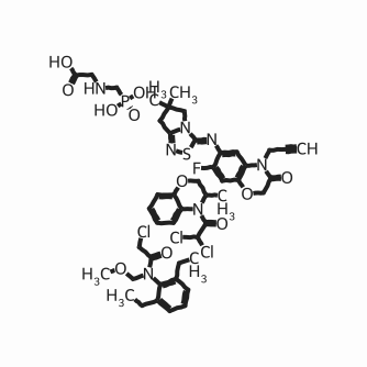 C#CCN1C(=O)COc2cc(F)c(/N=c3\snc4n3CC(C)(C)C4)cc21.CC1COc2ccccc2N1C(=O)C(Cl)Cl.CCc1cccc(CC)c1N(COC)C(=O)CCl.O=C(O)CNCP(=O)(O)O